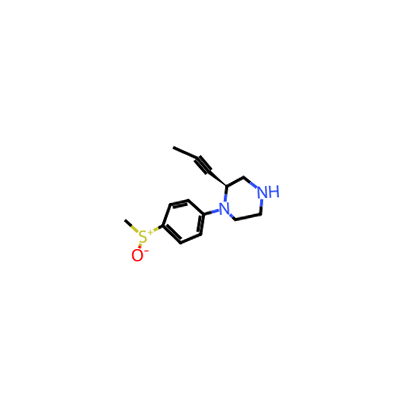 CC#C[C@H]1CNCCN1c1ccc([S+](C)[O-])cc1